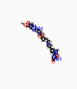 CCOCc1cc2cnc(NC3CCN(S(=O)(=O)c4cccc(CC(C)CN5CCC(c6ccc7c(N8CCC(=O)NC8=O)nn(C)c7c6)CC5)c4)CC3)nc2n(C)c1=O